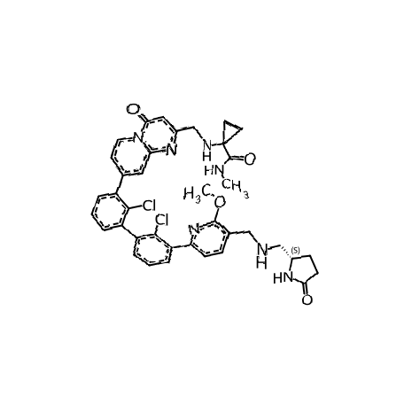 CNC(=O)C1(NCc2cc(=O)n3ccc(-c4cccc(-c5cccc(-c6ccc(CNC[C@@H]7CCC(=O)N7)c(OC)n6)c5Cl)c4Cl)cc3n2)CC1